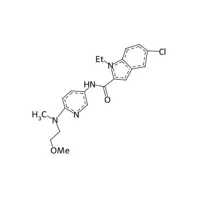 CCn1c(C(=O)Nc2ccc(N(C)CCOC)nc2)cc2cc(Cl)ccc21